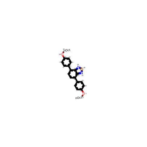 CCCCCCCCOc1ccc(-c2ccc(-c3ccc(OCCCCCCCC)cc3)c3nsnc23)cc1